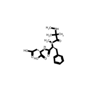 CNC(C)(C)C(=O)N(C)[C@@H](Cc1ccccc1)C(=O)N[C@@H](CC(=O)O)C(=O)O